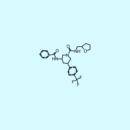 O=C(NC1CC(c2ccc(C(F)(F)F)cc2)CN(C(=O)NCC2CCCO2)C1)c1ccccc1